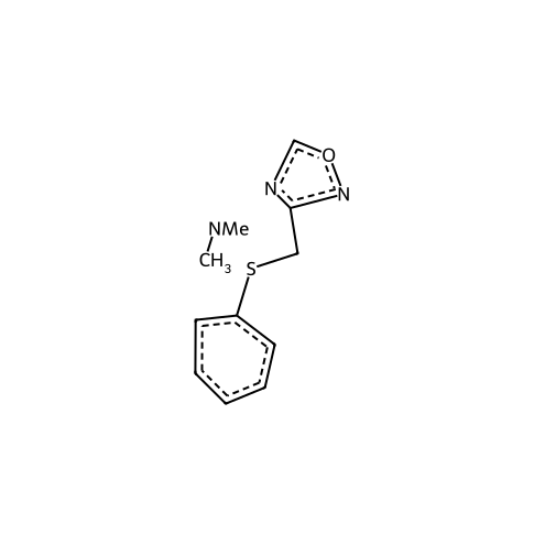 CNC.c1ccc(SCc2ncon2)cc1